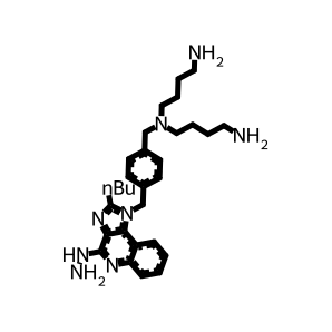 CCCCc1nc2c(NN)nc3ccccc3c2n1Cc1ccc(CN(CCCCN)CCCCN)cc1